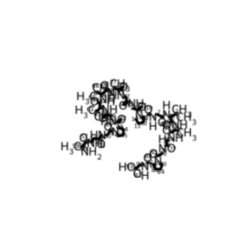 CC(C)[C@H](NC(=O)CNC(=O)[C@@H]1CCCN1C(=O)CNC(=O)CNC(=O)[C@H](C)NC(=O)[C@@H](NC(=O)[C@@H](NC(=O)CNC(=O)[C@@H]1CCCN1C(=O)CNC(=O)CNC(=O)[C@H](C)N)C(C)C)C(C)C)C(=O)N[C@@H](C)C(=O)NCC(=O)NCC(=O)N1CCC[C@H]1C(=O)NCC(=O)O